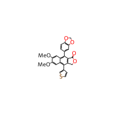 COc1cc2c(-c3ccsc3)c3c(c(-c4ccc5c(c4)OCO5)c2cc1OC)C(=O)OC3